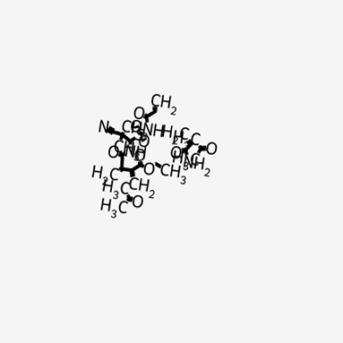 C=CC(=O)NS(=O)(=O)C(NC(=O)C(=C)C(=C)C(=O)OCC)C(C)(C)C#N.C=CC(N)=O.CC(C)=O.CC(C)=O